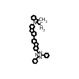 C=Cc1c(C)c2ccccc2n1-c1ccc2c(c1)-c1ccc(-c3ccc4c(c3)Cc3cc(-c5nc(C6=CC=CCC6)nc(-c6ccccc6)n5)ccc3-4)cc1C2